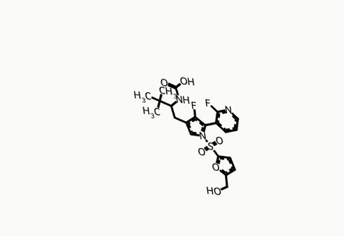 CC(C)(C)C(Cc1cn(S(=O)(=O)c2ccc(CO)o2)c(-c2cccnc2F)c1F)NC(=O)O